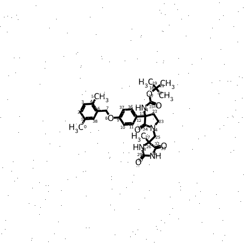 Cc1ccc(C)c(COc2ccc(C3(NC(=O)OC(C)(C)C)CCN(CC4(C)NC(=O)NC4=O)C3=O)cc2)c1